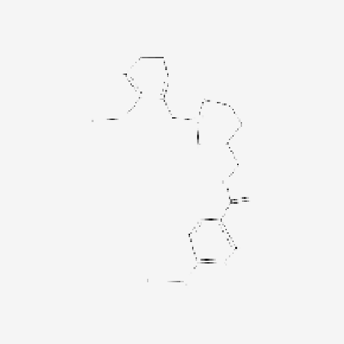 O=C(OCC1CCCN(Cc2ccccc2OS(=O)(=O)O)C1)c1ccc(OS(=O)(=O)O)cc1